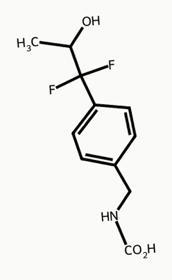 CC(O)C(F)(F)c1ccc(CNC(=O)O)cc1